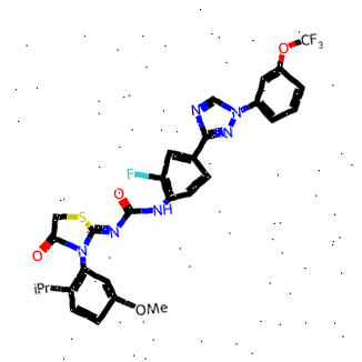 COc1ccc(C(C)C)c(N2C(=O)CS/C2=N\C(=O)Nc2ccc(-c3ncn(-c4cccc(OC(F)(F)F)c4)n3)cc2F)c1